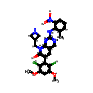 COc1cc(OC)c(Cl)c(-c2cc3cnc(Nc4c(C)cccc4[N+](=O)[O-])nc3n(CC3CNC3)c2=O)c1Cl